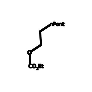 C[CH]OC(=O)OCCCCCCC